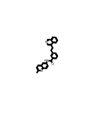 Cc1ccc2cc(NC(=O)c3cccc(CCc4cncc5ccccc45)c3)ccc2n1